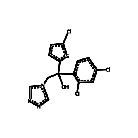 OC(Cn1cnnc1)(c1ccc(Cl)s1)c1ccc(Cl)cc1Cl